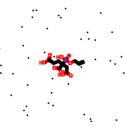 C=CCOP(=O)(O)C(CCC(=O)O)(CC(=O)O)C(=O)O